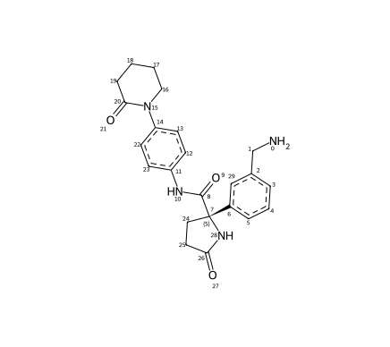 NCc1cccc([C@]2(C(=O)Nc3ccc(N4CCCCC4=O)cc3)CCC(=O)N2)c1